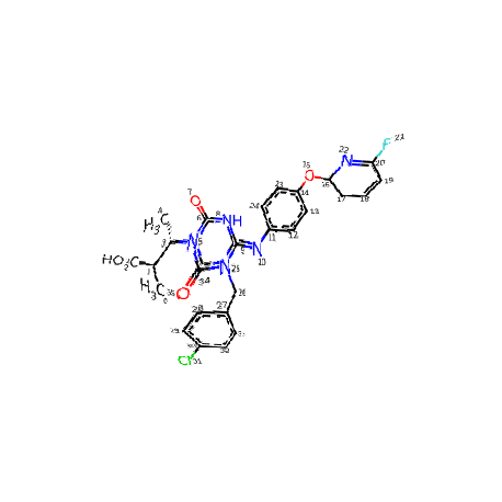 C[C@@H](C(=O)O)[C@H](C)n1c(=O)[nH]/c(=N\c2ccc(OC3CC=CC(F)=N3)cc2)n(Cc2ccc(Cl)cc2)c1=O